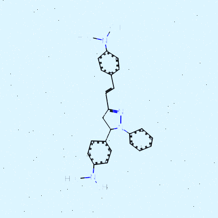 CN(C)c1ccc(/C=C/C2=NN(c3ccccc3)C(c3ccc(N(C)C)cc3)C2)cc1